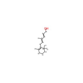 CC1=C(C/C=C(C)/C=C/CO)C(C)(C)CCC1